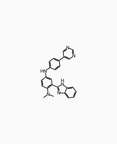 CN(C)c1ccc(Nc2ccc(-c3cncnc3)cc2)cc1-c1nc2ccccc2[nH]1